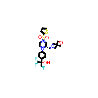 O=S(=O)(c1cccs1)N1CCN(c2ccc(C(O)(CF)C(F)F)cc2)[C@@H](CN2CC3(COC3)C2)C1